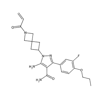 C=CC(=O)N1CC2(CC(n3nc(-c4ccc(OCCC)c(F)c4)c(C(N)=O)c3N)C2)C1